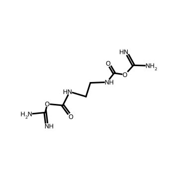 N=C(N)OC(=O)NCCNC(=O)OC(=N)N